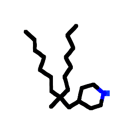 CCCCCCCC(C)(CCCCCCC)CC1CCNCC1